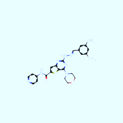 Cc1cc(C)cc(/C=N/Nc2nc(N3CCOCC3)c3sc(C(=O)Nc4ccncc4)cc3n2)c1